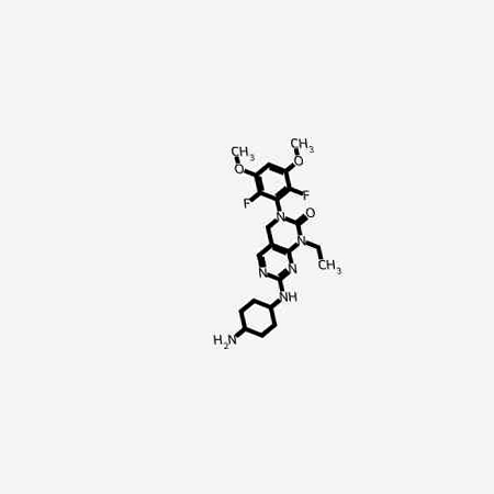 CCN1C(=O)N(c2c(F)c(OC)cc(OC)c2F)Cc2cnc(NC3CCC(N)CC3)nc21